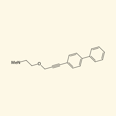 CNCCOCC#Cc1ccc(-c2ccccc2)cc1